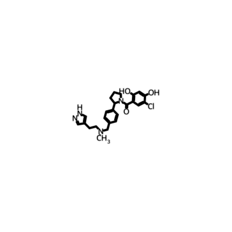 CN(CCc1cn[nH]c1)Cc1ccc(C2CCCN2C(=O)c2cc(Cl)c(O)cc2O)cc1